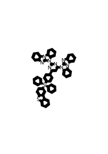 c1ccc([Si](c2ccccc2)(c2ccc(-c3cc(-n4c5ccccc5n5c6ccccc6nc45)nc(-n4c5ccccc5n5c6ccccc6nc45)n3)cc2)c2ccc3sc4ccccc4c3c2)cc1